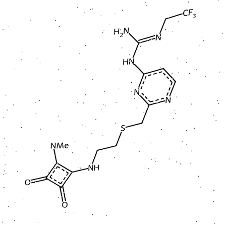 CNc1c(NCCSCc2nccc(NC(N)=NCC(F)(F)F)n2)c(=O)c1=O